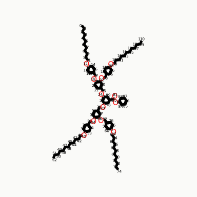 CCCCCCCCCCCCOc1ccc(COc2ccc(COc3cc(OCc4ccc(OCc5ccc(OCCCCCCCCCCCC)cc5)c(OCc5ccc(OCCCCCCCCCCCC)cc5)c4)cc(C(=O)Oc4ccccc4)c3)cc2OCc2ccc(OCCCCCCCCCCCC)cc2)cc1